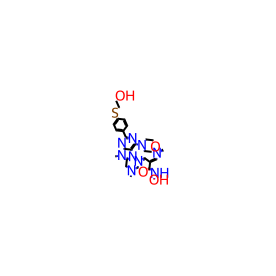 C=N/C=C(\C=N/CN(C)Cc1nc2c(N3CCOCC3)nc(-c3ccc(SCCO)cc3)nc2n1C)C(=O)NO